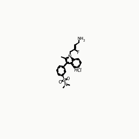 Cc1c(-c2cccc(S(=O)(=O)N(C)C)c2)c2ccccc2n1CC(F)=CCN.Cl